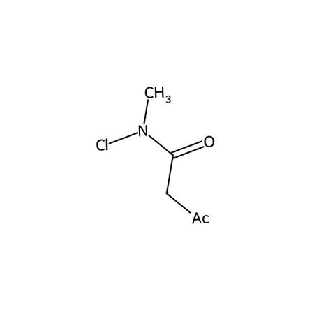 CC(=O)CC(=O)N(C)Cl